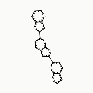 c1cnc2cc(-c3ccc4cc(-c5ccc6ccoc6n5)[nH]c4n3)[nH]c2c1